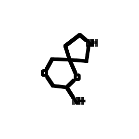 [NH]C1COCC2(CCNC2)O1